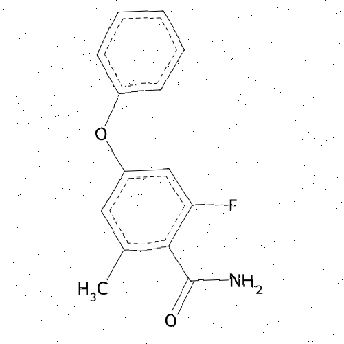 Cc1cc(Oc2ccccc2)cc(F)c1C(N)=O